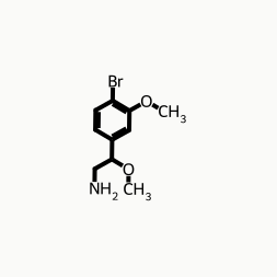 COc1cc(C(CN)OC)ccc1Br